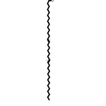 CCCCCCCCCCCCC/C=C/CCCCC/C=C/CCCCCCCCCCCCC(C)=O